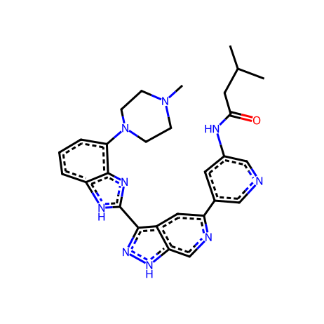 CC(C)CC(=O)Nc1cncc(-c2cc3c(-c4nc5c(N6CCN(C)CC6)cccc5[nH]4)n[nH]c3cn2)c1